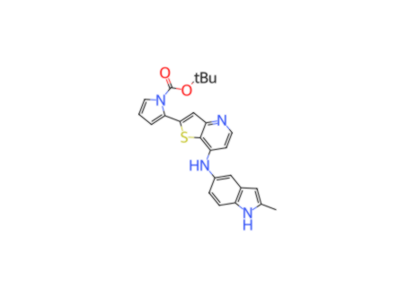 Cc1cc2cc(Nc3ccnc4cc(-c5cccn5C(=O)OC(C)(C)C)sc34)ccc2[nH]1